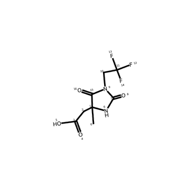 CC1(CC(=O)O)NC(=O)N(CC(F)(F)F)C1=O